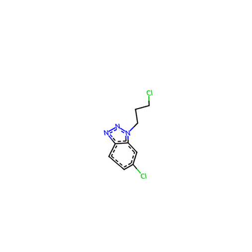 ClCCCn1nnc2ccc(Cl)cc21